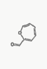 O=CC1=CC=CC=CO1